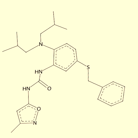 Cc1cc(NC(=O)Nc2cc(SCc3ccccc3)ccc2N(CC(C)C)CC(C)C)on1